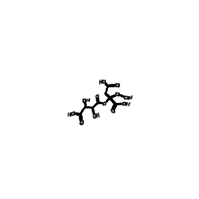 O=C(O)CC(OO)(OC(=O)C(O)C(O)C(=O)O)C(=O)O